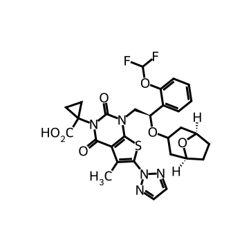 Cc1c(-n2nccn2)sc2c1c(=O)n(C1(C(=O)O)CC1)c(=O)n2C[C@H](OC1C[C@H]2CC[C@@H](C1)O2)c1ccccc1OC(F)F